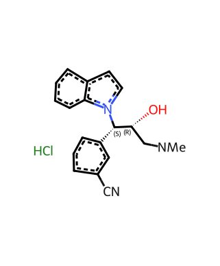 CNC[C@@H](O)[C@H](c1cccc(C#N)c1)n1ccc2ccccc21.Cl